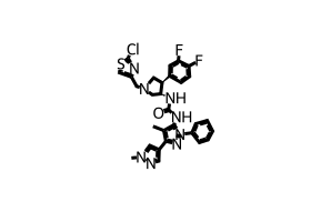 Cc1c(-c2cnn(C)c2)nn(-c2ccccc2)c1NC(=O)N[C@@H]1CN(Cc2csc(Cl)n2)C[C@H]1c1ccc(F)c(F)c1